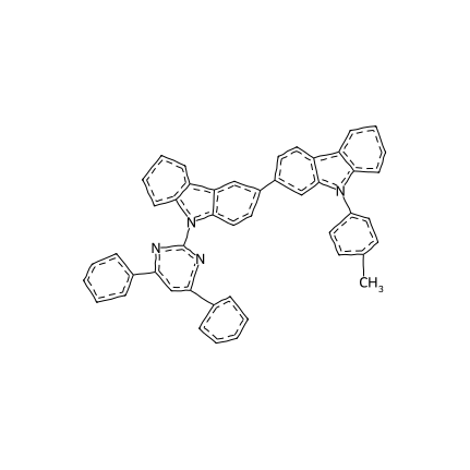 Cc1ccc(-n2c3ccccc3c3ccc(-c4ccc5c(c4)c4ccccc4n5-c4nc(-c5ccccc5)cc(-c5ccccc5)n4)cc32)cc1